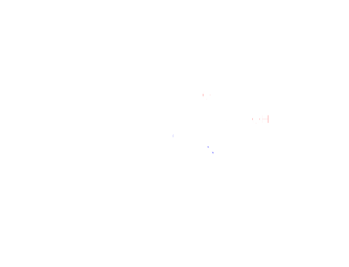 CCC/C=C/N(C)C(=O)O